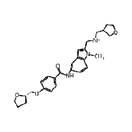 Cn1c(CNCC2CCOC2)cc2cc(NC(=O)c3ccc(OC[C@@H]4CCCO4)cc3)ccc21